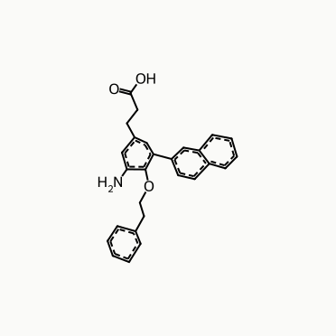 Nc1cc(CCC(=O)O)cc(-c2ccc3ccccc3c2)c1OCCc1ccccc1